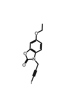 CCOc1ccc2c(c1)oc(=O)n2CC#CI